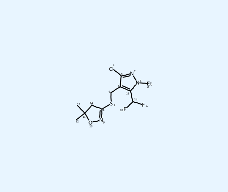 CCn1nc(Cl)c(CSC2=NOC(C)(C)C2)c1C(F)F